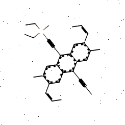 CC#Cc1c2cc(C)c(/C=C\C)cc2c(C#CS(C)(CC)CC)c2cc(C)c(/C=C\C)cc12